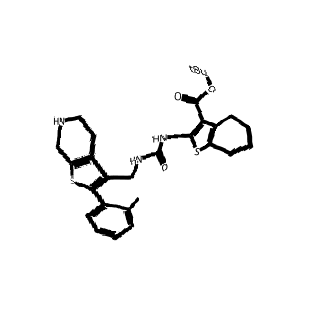 Cc1ccccc1-c1sc2c(c1CNC(=O)Nc1sc3c(c1C(=O)OC(C)(C)C)CCCC3)CCNC2